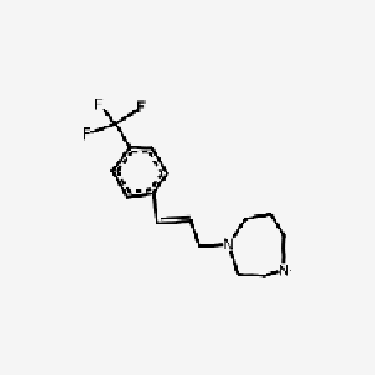 FC(F)(F)c1ccc(C=CCN2CCC[N]CC2)cc1